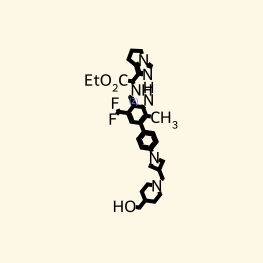 CCOC(=O)C(N/C=C1\C(=N)C(C)=C(c2ccc(N3CC(CN4CCC(CO)CC4)C3)cc2)C=C1C(F)F)c1ncn2c1CCC2